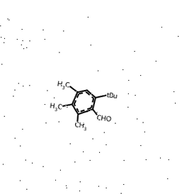 Cc1cc(C(C)(C)C)c(C=O)c(C)c1C